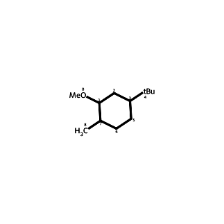 COC1CC(C(C)(C)C)CCC1C